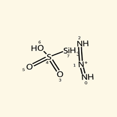 N=[N+]=N.O=S(=O)(O)[SiH3]